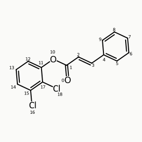 O=C(C=Cc1ccccc1)Oc1cccc(Cl)c1Cl